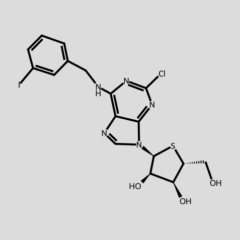 OC[C@H]1S[C@H](n2cnc3c(NCc4cccc(I)c4)nc(Cl)nc32)[C@H](O)[C@@H]1O